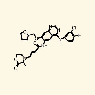 C[C@H]1C(=O)OCCN1CC=CC(=O)Nc1cc2c(Nc3ccc(F)c(Cl)c3)ncnc2cc1OC[C@H]1CCCO1